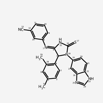 Cc1ccc(C2C(=Nc3cccc(C#N)c3)NC(=S)N2c2ccc3[nH]cnc3c2)c(C)c1